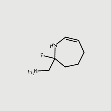 NCC1(F)CCCC=CN1